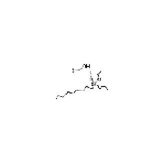 CCCCCCCCC[Si](OCC)(OCC)OCC.OC=S